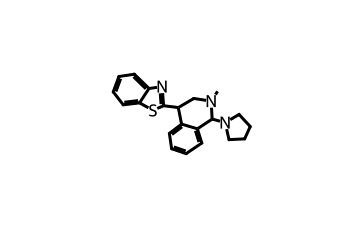 CN1CC(c2nc3ccccc3s2)c2ccccc2C1N1CCCC1